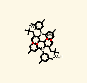 COc1ccc(CC(C)(C)C(=O)O)c(P(c2cc(C)cc(C)c2)c2cc(C)cc(C)c2)c1-c1c(OC)ccc(CC(C)(C)C(=O)O)c1P(c1cc(C)cc(C)c1)c1cc(C)cc(C)c1